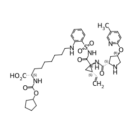 C=C[C@@H]1C[C@]1(NC(=O)[C@@H]1C[C@@H](Oc2ccc(C)cn2)CN1)C(=O)NS(=O)(=O)c1ccccc1NCCCCCCC[C@H](NC(=O)OC1CCCC1)C(=O)O